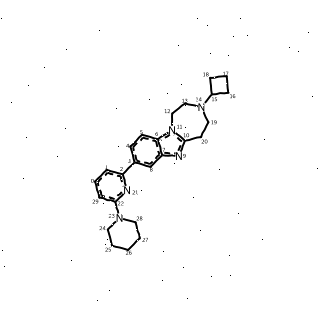 c1cc(-c2ccc3c(c2)nc2n3CCN(C3CCC3)CC2)nc(N2CCCCC2)c1